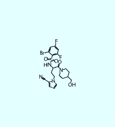 N#Cc1cccn1CCC(NS(=O)(=O)c1c(F)cc(F)cc1Br)C(=O)N1CCC(CO)CC1